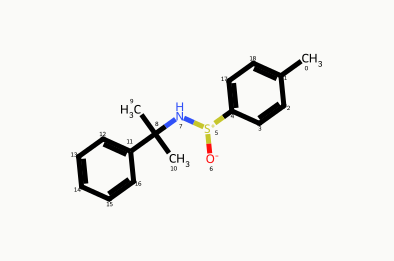 Cc1ccc([S+]([O-])NC(C)(C)c2ccccc2)cc1